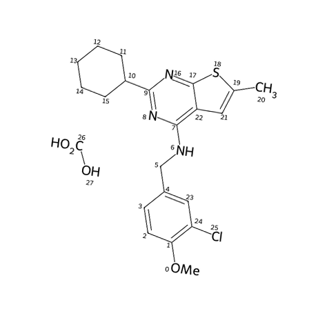 COc1ccc(CNc2nc(C3CCCCC3)nc3sc(C)cc23)cc1Cl.O=C(O)O